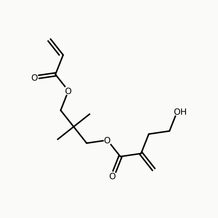 C=CC(=O)OCC(C)(C)COC(=O)C(=C)CCO